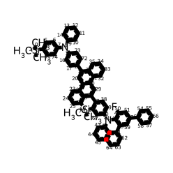 C[Si](C)(C)c1ccc(N(c2ccccc2)c2ccc(-c3cc4c5cccc6c5c(cc4c4ccccc34)-c3ccc(N(c4ccccc4)c4c(F)cc(-c5ccccc5)cc4-c4ccccc4)cc3[Si]6(C)C)cc2)cc1